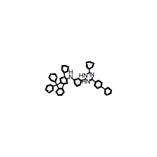 N=C(/N=C(\NCc1cccc(Nc2cc3c(cc2-c2ccccc2)C(c2ccccc2)(c2ccccc2)c2ccccc2-3)c1)c1ccccc1)c1ccc(-c2ccccc2)cc1